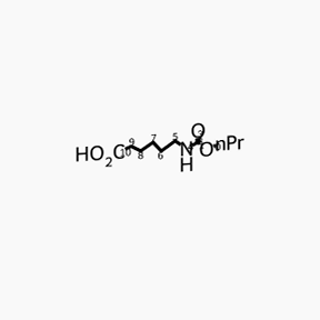 CCCOC(=O)NCCCCCC(=O)O